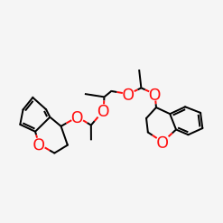 CC(COC(C)OC1CCOc2ccccc21)OC(C)OC1CCOc2ccccc21